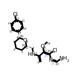 C=C(NC[C@@H]1CCC[C@H](c2ccc(Cl)cc2)O1)/C(OC)=C(Cl)\N=C/N